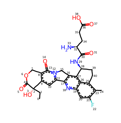 CC[C@@]1(O)C(=O)OCc2c1cc1n(c2=O)Cc2c-1nc1cc(F)c(C)c3c1c2[C@@H](NC(=O)[C@@H](N)CCC(=O)O)CC3